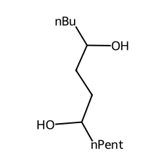 CCCCCC(O)CCC(O)CCCC